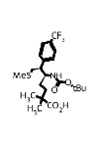 CSC[C@@H](c1ccc(C(F)(F)F)cc1)[C@H](CCC(C)(C)C(=O)O)NC(=O)OC(C)(C)C